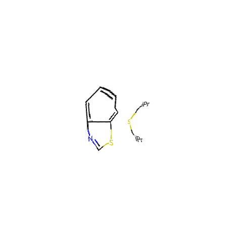 CC(C)SC(C)C.c1ccc2scnc2c1